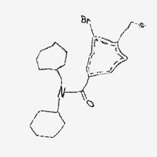 O=C(c1ccc(CBr)c(Br)c1)N(C1CCCCC1)C1CCCC1